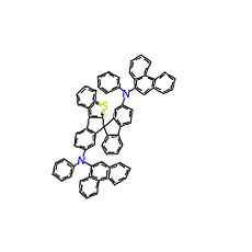 c1ccc(N(c2ccc3c(c2)C2(c4ccccc4-3)c3cc(N(c4ccccc4)c4cc5ccccc5c5ccccc45)ccc3-c3c2sc2ccccc32)c2cc3ccccc3c3ccccc23)cc1